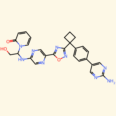 Nc1ncc(-c2ccc(C3(c4noc(-c5cnc(NC(CO)n6ccccc6=O)cn5)n4)CCC3)cc2)cn1